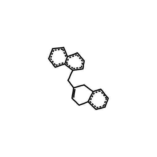 [CH]1C(Cc2cccc3ccccc23)=CCc2ccccc21